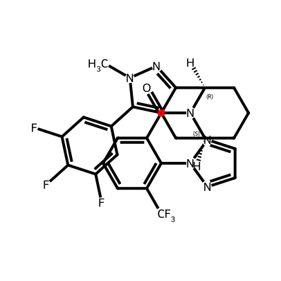 Cn1nc2c(c1-c1cc(F)c(F)c(F)c1)C[C@@H]1CCC[C@H]2N1C(=O)c1cccc(C(F)(F)F)c1-n1nccn1